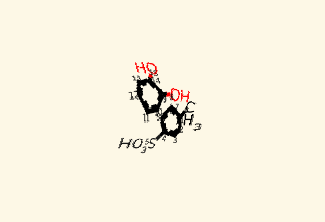 Cc1ccc(S(=O)(=O)O)cc1.Oc1ccccc1O